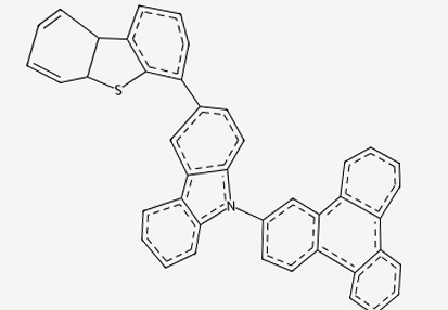 C1=CC2Sc3c(-c4ccc5c(c4)c4ccccc4n5-c4ccc5c6ccccc6c6ccccc6c5c4)cccc3C2C=C1